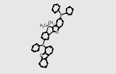 C[Si]1(C)c2ccc(N(c3ccccc3)c3cccc4c3oc3ccccc34)cc2-c2oc3ccc(N(c4ccccc4)c4ccccc4)cc3c21